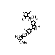 CNC(=O)CC1(N)CN(c2ncc(-c3n[nH]c4ccc(O[C@H](C)c5c(Cl)cncc5Cl)cc34)cc2F)C1